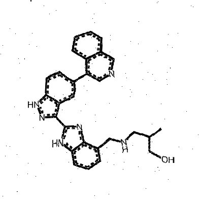 CC(CO)CNCc1cccc2[nH]c(-c3n[nH]c4ccc(-c5cncc6ccccc56)cc34)nc12